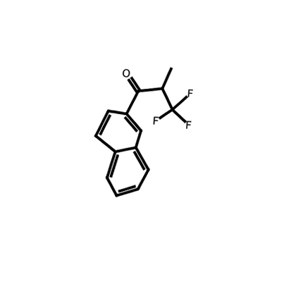 CC(C(=O)c1ccc2ccccc2c1)C(F)(F)F